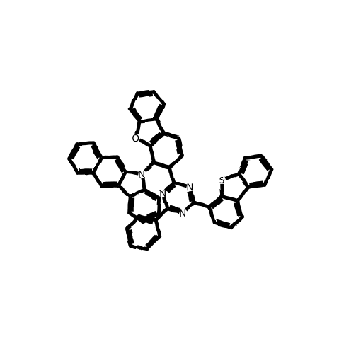 C1=CC(c2nc(-c3ccccc3)nc(-c3cccc4c3sc3ccccc34)n2)C(n2c3ccccc3c3cc4ccccc4cc32)c2oc3ccccc3c21